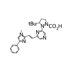 Cn1cc(-c2ccccc2)nc1C=Cc1cncc(N2C(C(C)(C)C)CCN2C(=O)O)n1